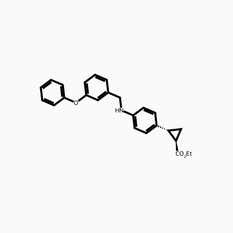 CCOC(=O)[C@@H]1C[C@H]1c1ccc(NCc2cccc(Oc3ccccc3)c2)cc1